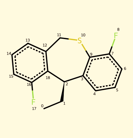 CC[C@@H]1c2cccc(F)c2SCc2cccc(F)c21